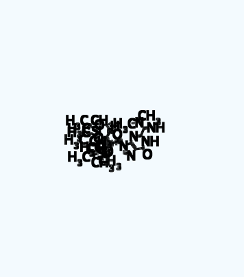 CN(C)C(=N)c1nc2c(ncn2[C@@H]2O[C@@H]3CO[Si](C(C)(C)C)(C(C)(C)C)O[C@H]3[C@H]2O[Si](C)(C)C(C)(C)C)c(=O)[nH]1